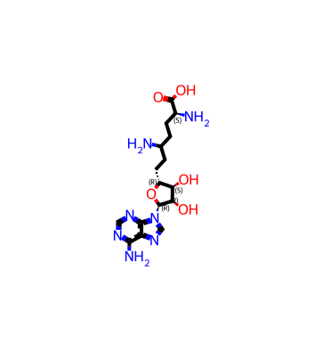 Nc1ncnc2c1ncn2[C@@H]1O[C@H](CCC(N)CC[C@H](N)C(=O)O)[C@@H](O)[C@H]1O